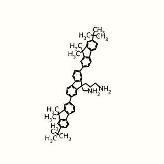 CC(C)(C)c1ccc2c(c1)C(C)(C)c1cc(-c3ccc4c(c3)C(CN)(CCCN)c3cc(-c5ccc6c(c5)C(C)(C)c5cc(C(C)(C)C)ccc5-6)ccc3-4)ccc1-2